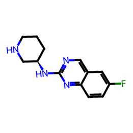 Fc1ccc2nc(N[C@@H]3CCCNC3)ncc2c1